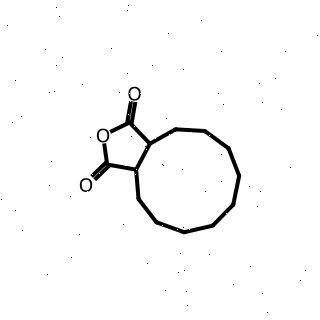 O=C1OC(=O)C2CCCCCCCCCC12